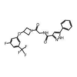 O=C(NCC(=O)N1CC(Oc2cc(F)cc(C(F)(F)F)c2)C1)c1cc(-c2ccccc2)[nH]n1